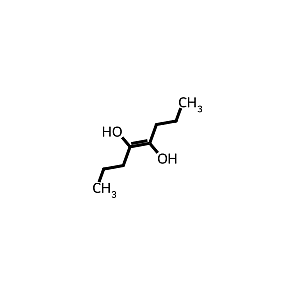 CCCC(O)=C(O)CCC